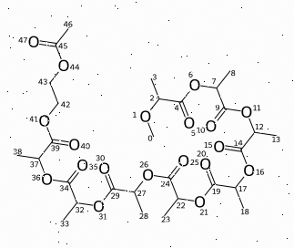 COC(C)C(=O)OC(C)C(=O)OC(C)C(=O)OC(C)C(=O)OC(C)C(=O)OC(C)C(=O)OC(C)C(=O)OC(C)C(=O)OCCOC(C)=O